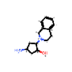 NC1CC(O)C(N2CCc3ccccc3C2)C1